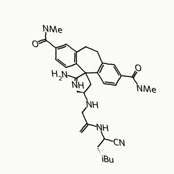 C=C(CN[C@@H](C)CC1(C(=N)N)c2ccc(C(=O)NC)cc2CCc2cc(C(=O)NC)ccc21)NC(C#N)C[C@@H](C)CC